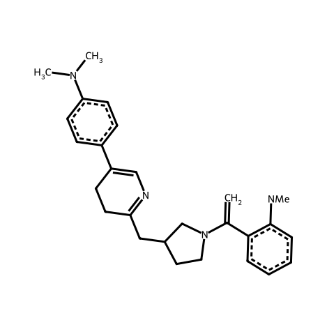 C=C(c1ccccc1NC)N1CCC(CC2=NC=C(c3ccc(N(C)C)cc3)CC2)C1